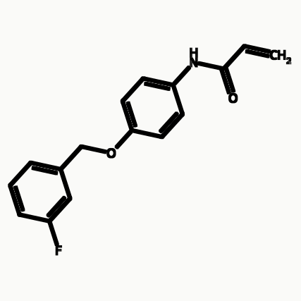 C=CC(=O)Nc1ccc(OCc2cccc(F)c2)cc1